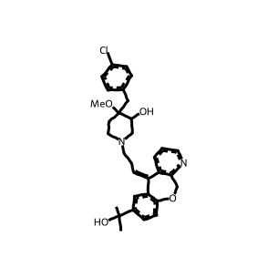 COC1(Cc2ccc(Cl)cc2)CCN(CC/C=C2/c3cc(C(C)(C)O)ccc3OCc3ncccc32)CC1O